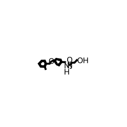 Cc1ccccc1COc1ccc(CNN(C)C(=O)CCO)cc1